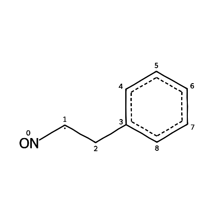 O=N[CH]Cc1ccccc1